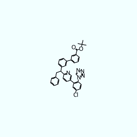 CC(C)(C)OC(=O)c1cccc(-c2cccc(C(Cc3ccccc3)c3ccc(-c4cc(Cl)ccc4-n4cnnn4)cn3)c2)c1